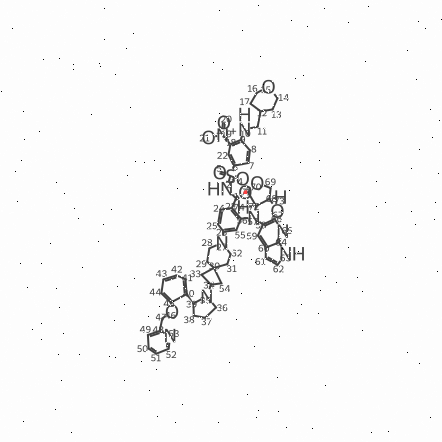 O=C(NS(=O)(=O)c1ccc(NCC2CCOCC2)c([N+](=O)[O-])c1)c1ccc(N2CCC3(CC2)CC(N2CCC[C@H]2c2ccccc2OCc2ccccn2)C3)cc1N1c2cc3cc[nH]c3nc2O[C@@H]2COC[C@H]21